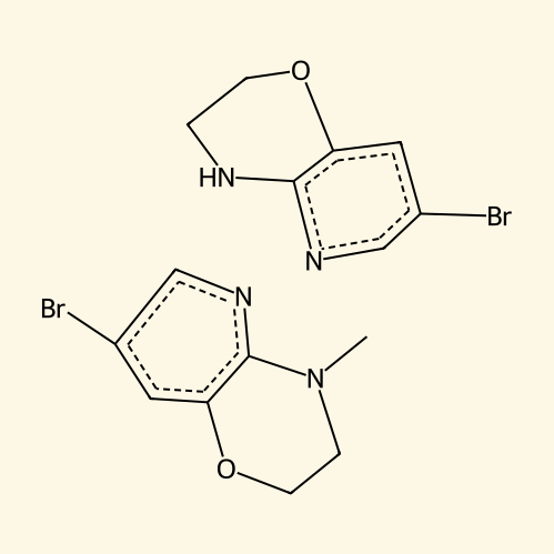 Brc1cnc2c(c1)OCCN2.CN1CCOc2cc(Br)cnc21